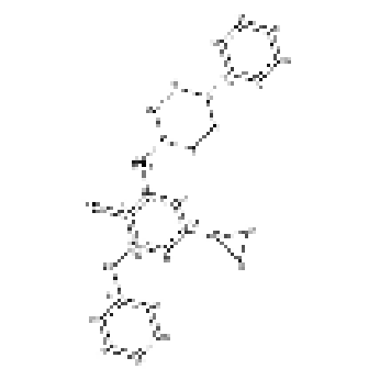 O=c1c(N[C@H]2CC[C@@H](c3ccccc3)CC2)cc(C2CC2)cn1Cc1ccccc1